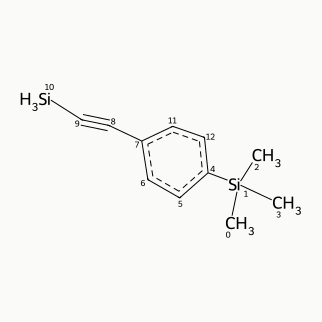 C[Si](C)(C)c1ccc(C#C[SiH3])cc1